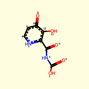 O=C(O)NC(=O)c1[nH]ccc(=O)c1O